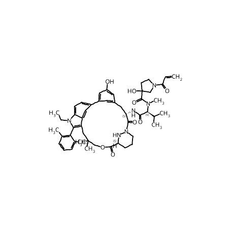 C=CC(=O)N1CCC(O)(C(=O)N(C)[C@H](C(=O)N[C@H]2Cc3cc(O)cc(c3)-c3ccc4c(c3)c(c(-c3c(C)cccc3C)n4CC)CC(C)(C)COC(=O)[C@@H]3CCCN(N3)C2=O)C(C)C)C1